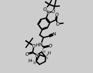 COC(=O)c1cc(CC(C#N)NC(=O)[C@@H]2[C@H]3CC[C@H](C3)N2C(=O)OC(C)(C)C)ccc1B1OC(C)(C)C(C)(C)O1